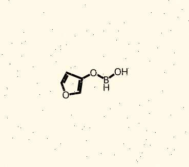 OBOc1ccoc1